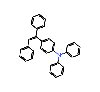 C(=C(c1ccccc1)c1ccc(N(c2ccccc2)c2ccccc2)cc1)c1ccccc1